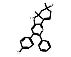 CC1(Br)CC=C2c3nc(-c4ccccc4)c(-c4ccc(Cl)cc4)cc3NC2(C)C1